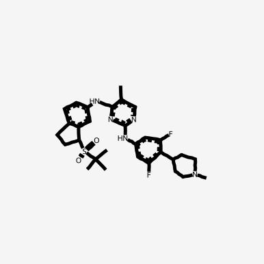 Cc1cnc(Nc2cc(F)c(C3CCN(C)CC3)c(F)c2)nc1Nc1ccc2c(c1)C(S(=O)(=O)C(C)(C)C)CC2